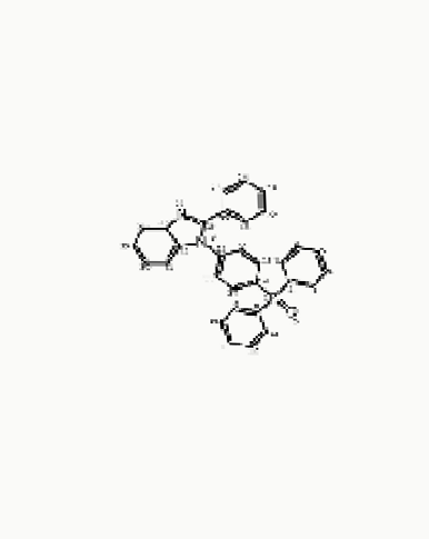 O=P(c1ccccc1)(c1ccccc1)c1ccc(-n2c(-c3ccccc3)nc3ccccc32)cc1